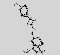 CC(=O)Nc1c[nH]c2ccc(COC3CC(c4ccc(C(F)(F)F)cc4)C3)cc12